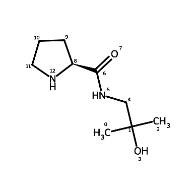 CC(C)(O)CNC(=O)[C@@H]1CCCN1